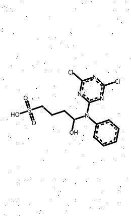 O=S(=O)(O)CCCC(O)N(c1ccccc1)c1nc(Cl)nc(Cl)n1